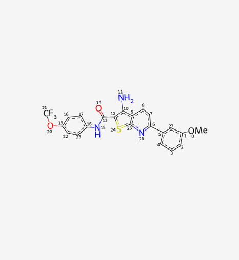 COc1cccc(-c2ccc3c(N)c(C(=O)Nc4ccc(OC(F)(F)F)cc4)sc3n2)c1